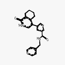 O=C(NCc1ccncc1)c1cncc(-c2c[nH]c(=O)c3c2CCCC3)c1